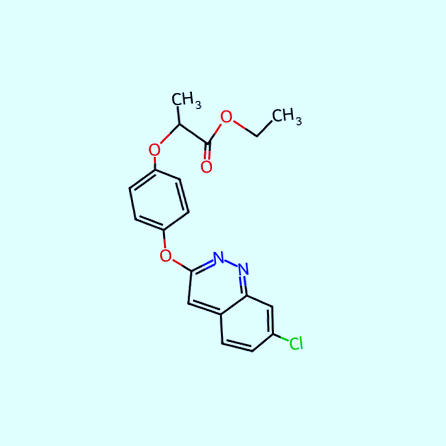 CCOC(=O)C(C)Oc1ccc(Oc2cc3ccc(Cl)cc3nn2)cc1